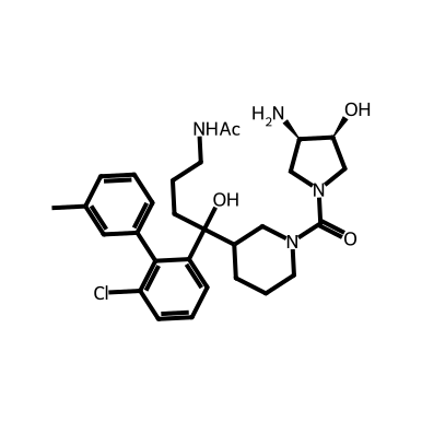 CC(=O)NCCCC(O)(c1cccc(Cl)c1-c1cccc(C)c1)C1CCCN(C(=O)N2C[C@@H](N)[C@@H](O)C2)C1